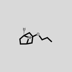 CCCOC1CC2CC[C@@H](C1)N2